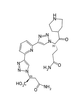 NC(=O)CC[C@@H](C(=O)C1CCNCC1)n1cc(-c2cccc(-c3cn([C@@H](CC(N)=O)C(=O)O)nn3)n2)nn1